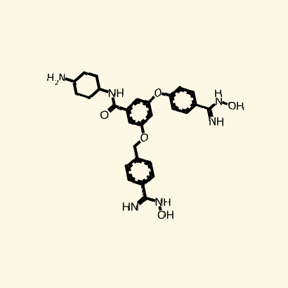 N=C(NO)c1ccc(COc2cc(Oc3ccc(C(=N)NO)cc3)cc(C(=O)NC3CCC(N)CC3)c2)cc1